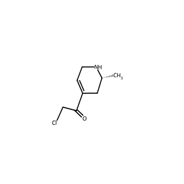 C[C@@H]1CC(C(=O)CCl)=CCN1